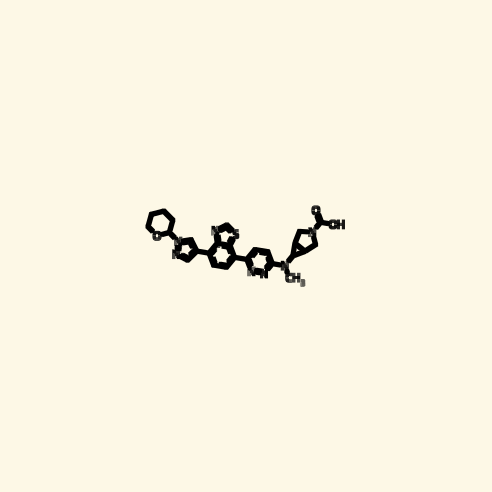 CN(c1ccc(-c2ccc(-c3cnn(C4CCCCO4)c3)c3ncsc23)nn1)C1C2CN(C(=O)O)CC21